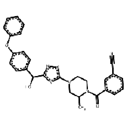 CC1CN(c2nc(C(O)c3ccc(Oc4ccccc4)cc3)ns2)CCN1C(=O)c1cccc(C#N)c1